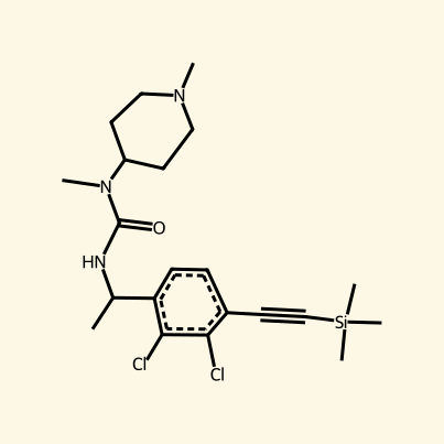 CC(NC(=O)N(C)C1CCN(C)CC1)c1ccc(C#C[Si](C)(C)C)c(Cl)c1Cl